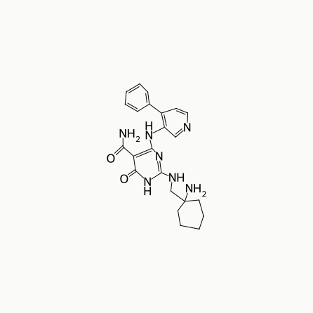 NC(=O)c1c(Nc2cnccc2-c2ccccc2)nc(NCC2(N)CCCCC2)[nH]c1=O